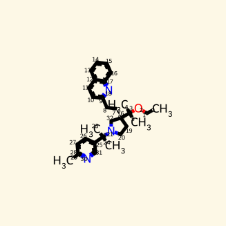 CCOC(C)(C)[C@@]1(CCc2ccc3ccccc3n2)CCN(C(C)(C)c2ccc(C)nc2)C1